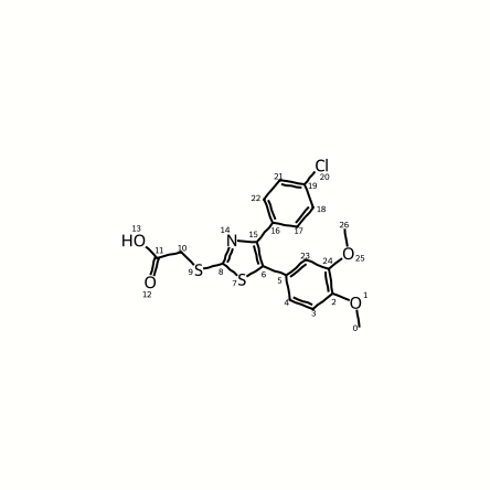 COc1ccc(-c2sc(SCC(=O)O)nc2-c2ccc(Cl)cc2)cc1OC